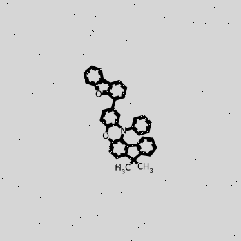 CC1(C)c2ccccc2-c2c1ccc1c2N(c2ccccc2)c2cc(-c3cccc4c3oc3ccccc34)ccc2O1